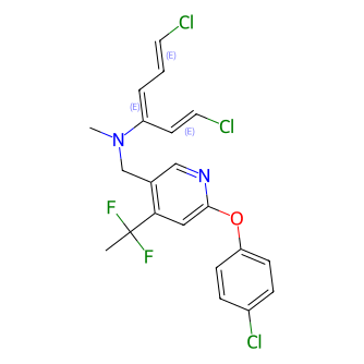 CN(Cc1cnc(Oc2ccc(Cl)cc2)cc1C(C)(F)F)C(/C=C/Cl)=C/C=C/Cl